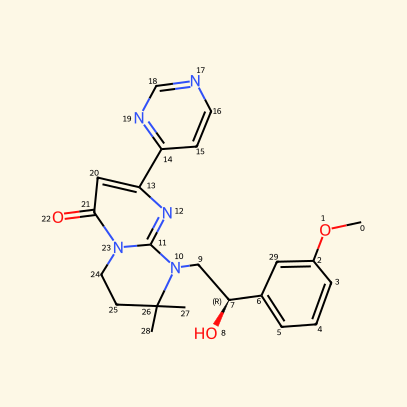 COc1cccc([C@@H](O)CN2c3nc(-c4ccncn4)cc(=O)n3CCC2(C)C)c1